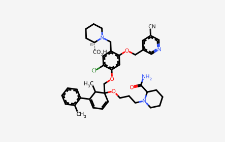 Cc1ccccc1C1=CC=CC(COc2cc(OCc3cncc(C#N)c3)c(CN3CCCC[C@H]3C(=O)O)cc2Cl)(OCCCN2CCCCC2C(N)=O)C1C